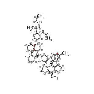 C=C/C=C\CCCc1c(-c2cccc(N(c3ccc(-c4ccc(C(=C)/C=C\C=C/C)c(/C=C\C)c4)cc3)c3ccccc3-c3ccccc3)c2)cccc1N(C)c1cccc2c1oc1ccccc12